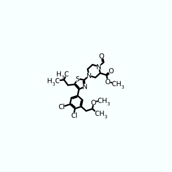 COC(=O)C1CN(c2nc(-c3cc(Cl)c(Cl)c(CC(C)OC)c3)c(CC(C)C)s2)CCN1C=O